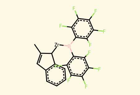 CC1=Cc2ccccc2[CH]1[Zr][B](c1c(F)c(F)c(F)c(F)c1F)c1c(F)c(F)c(F)c(F)c1F